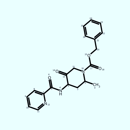 CC1CC(NC(=O)c2ccccn2)C(=O)CN1C(=O)OCc1ccccc1